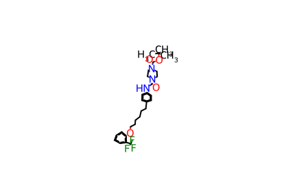 CC(C)(C)OC(=O)N1CCN(C(=O)Nc2ccc(CCCCCCOc3ccccc3C(F)(F)F)cc2)CC1